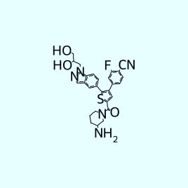 N#Cc1ccc(-c2cc(C(=O)N3CCCC(N)C3)sc2-c2ccc3c(cnn3CC(O)CO)c2)cc1F